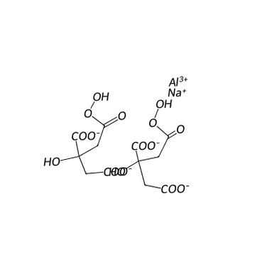 O=C([O-])CC(O)(CC(=O)OO)C(=O)[O-].O=C([O-])CC(O)(CC(=O)OO)C(=O)[O-].[Al+3].[Na+]